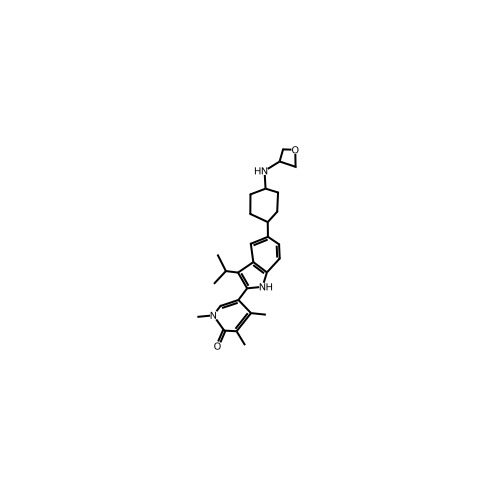 Cc1c(-c2[nH]c3ccc(C4CCC(NC5COC5)CC4)cc3c2C(C)C)cn(C)c(=O)c1C